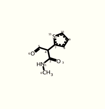 CNC(=O)C(C=O)c1cccs1